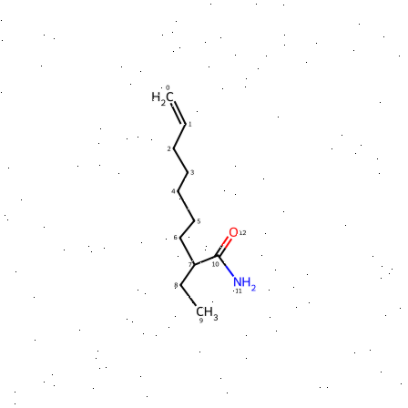 C=CCCCCCC(CC)C(N)=O